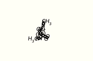 CCC1(OC(=O)CCN2CCN(C)CC2)C(=O)Cc2c1cc1n(c2=O)Cc2c-1nc1cc3c(cc1c2CN1CCN(C)CC1)OCCO3